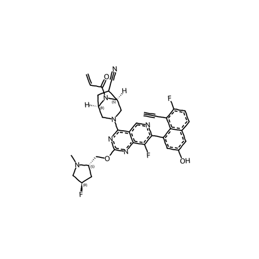 C#Cc1c(F)ccc2cc(O)cc(-c3ncc4c(N5C[C@H]6CC(C#N)[C@@H](C5)N6C(=O)C=C)nc(OC[C@@H]5C[C@@H](F)CN5C)nc4c3F)c12